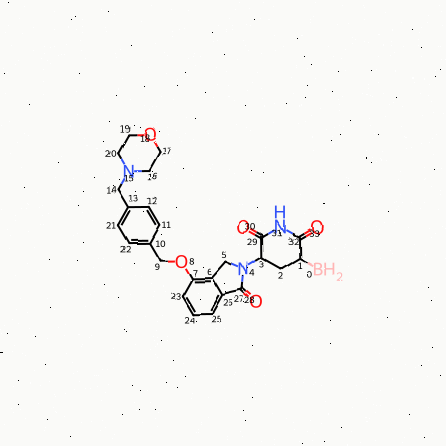 BC1CC(N2Cc3c(OCc4ccc(CN5CCOCC5)cc4)cccc3C2=O)C(=O)NC1=O